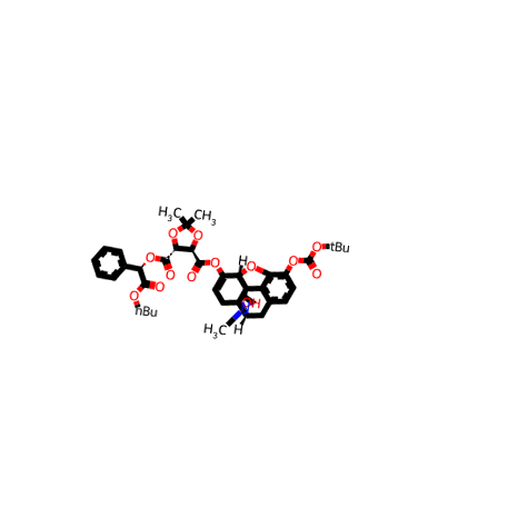 CCCCOC(=O)[C@@H](OC(=O)[C@@H]1OC(C)(C)O[C@H]1C(=O)OC1=CC[C@@]2(O)[C@H]3Cc4ccc(OC(=O)OC(C)(C)C)c5c4[C@@]2(CCN3C)[C@H]1O5)c1ccccc1